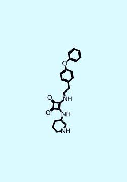 O=c1c(NCCc2ccc(Oc3ccccc3)cc2)c(NC2CCCNC2)c1=O